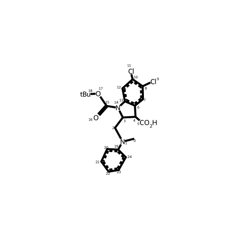 CN(CC1C(C(=O)O)c2cc(Cl)c(Cl)cc2N1C(=O)OC(C)(C)C)c1ccccc1